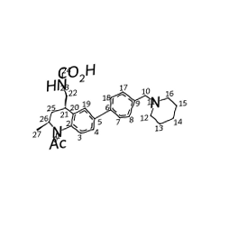 CC(=O)N1c2ccc(-c3ccc(CN4CCCCC4)cc3)cc2[C@H](CNC(=O)O)C[C@@H]1C